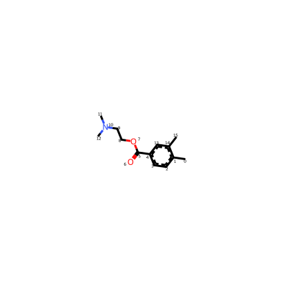 Cc1ccc(C(=O)OCCN(C)C)cc1C